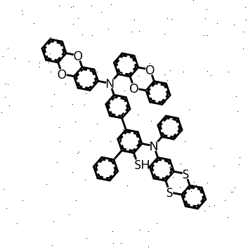 Sc1c(-c2ccccc2)cc(-c2ccc(N(c3ccc4c(c3)Oc3ccccc3O4)c3cccc4c3Oc3ccccc3O4)cc2)cc1N(c1ccccc1)c1ccc2c(c1)Sc1ccccc1S2